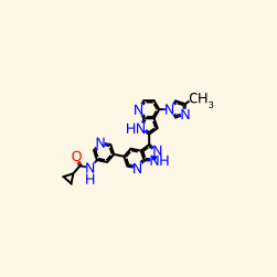 Cc1cn(-c2ccnc3[nH]c(-c4n[nH]c5ncc(-c6cncc(NC(=O)C7CC7)c6)cc45)cc23)cn1